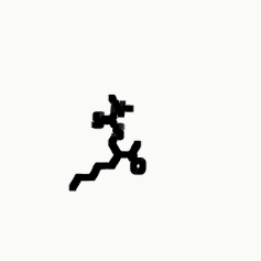 CCCCCC(CSC(=S)N(C)C)C(C)=O